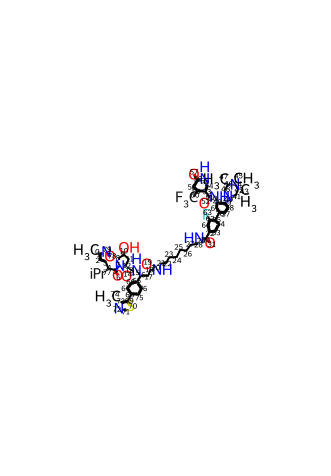 Cc1cc(C(C(=O)N2C[C@H](O)C[C@H]2C(=O)NC(CC(=O)NCCCCCCCCNC(=O)c2ccc(-c3ccc(N4C[C@@H](C)N(C)[C@@H](C)C4)c(NC(=O)c4c[nH]c(=O)cc4C(F)(F)F)c3)c(F)c2)c2ccc(-c3scnc3C)cc2)C(C)C)on1